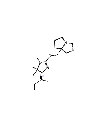 CC/C(C)=C1/N=C(OCC23CCCN2CCC3)N(C)C1(C)C